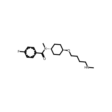 CNCCCCO[C@H]1CC[C@H](N(C)C(=O)c2ccc(F)cc2)CC1